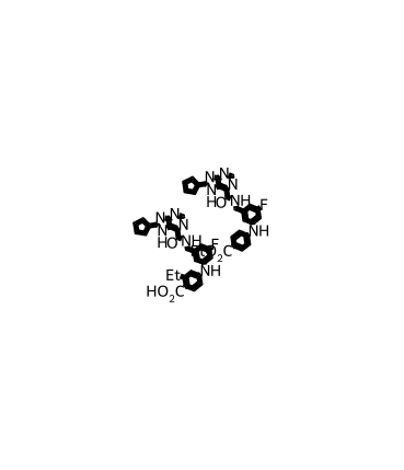 CCOC(=O)c1ccc(Nc2cc(F)cc(CNC(=O)c3ncnc4nc(C5CCCC5)[nH]c34)c2)cc1.CCc1cc(Nc2cc(F)cc(CNC(=O)c3ncnc4nc(C5CCCC5)[nH]c34)c2)ccc1C(=O)O